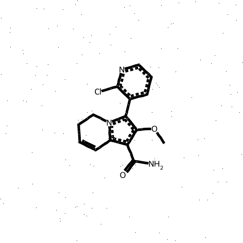 COc1c(C(N)=O)c2n(c1-c1cccnc1Cl)CCC=C2